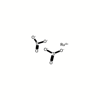 [O]=[Ti]([O-])[O-].[O]=[Ti]([O-])[O-].[Ru+4]